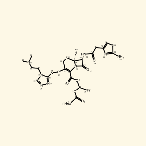 CCCCCCC(=O)OC(OC(=O)C1=C(CSc2nnnn2CCN(C)C)CS[C@H]2[C@H](NC(=O)Cc3csc(N)n3)C(=O)N12)C(C)C